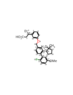 CC[C@H](CC(=O)O)c1cccc(OCc2ccc(-c3cc(OC)ccc3F)c([C@@H]3CCCC3(C)C)c2)c1